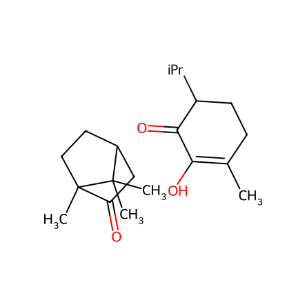 CC12CCC(CC1=O)C2(C)C.CC1=C(O)C(=O)C(C(C)C)CC1